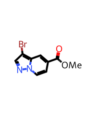 COC(=O)c1ccn2ncc(Br)c2c1